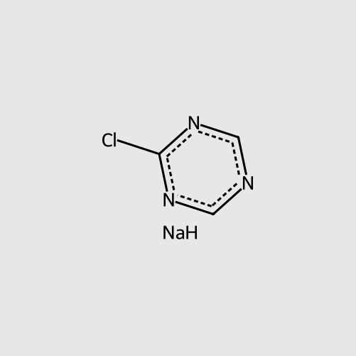 Clc1ncncn1.[NaH]